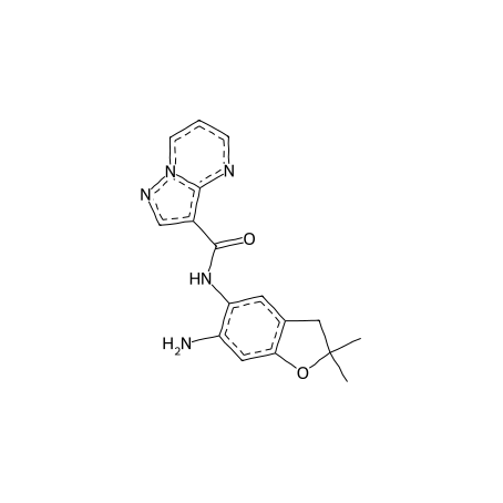 CC1(C)Cc2cc(NC(=O)c3cnn4cccnc34)c(N)cc2O1